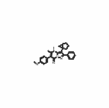 COc1ccc(-c2c(C)[nH]c3c(C45CCCC4C5)c(-c4ccccc4)nn3c2=O)cc1